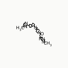 Cc1ccnc(-c2ccc3c(c2)CCC3N2CC3(CCN(C(=O)Cc4cn5cc(C)sc5n4)CC3)C2)n1